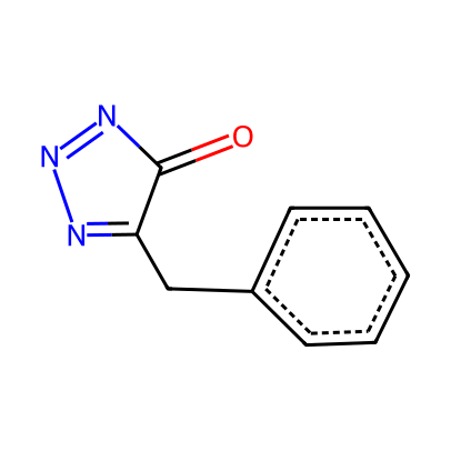 O=C1N=NN=C1Cc1ccccc1